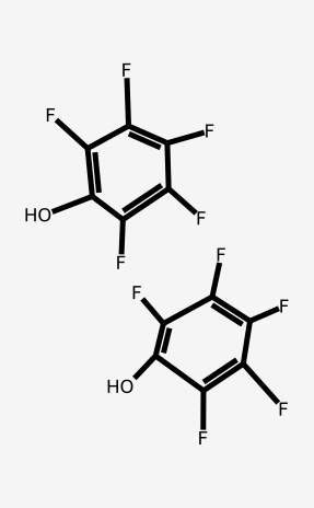 Oc1c(F)c(F)c(F)c(F)c1F.Oc1c(F)c(F)c(F)c(F)c1F